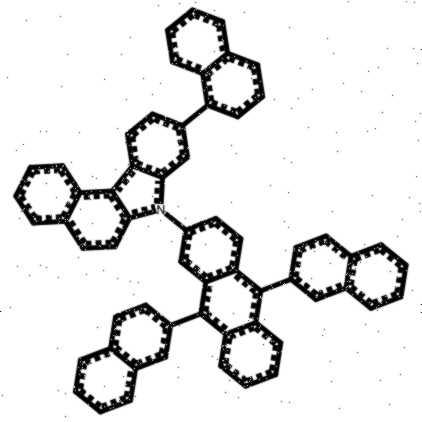 c1ccc2cc(-c3c4ccccc4c(-c4ccc5ccccc5c4)c4cc(-n5c6cc(-c7cccc8ccccc78)ccc6c6c7ccccc7ccc65)ccc34)ccc2c1